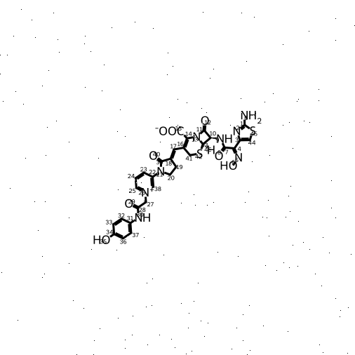 Nc1nc(/C(=N/O)C(=O)N[C@@H]2C(=O)N3C(C(=O)[O-])=C(/C=C4\CCN(c5ccc[n+](CC(=O)Nc6ccc(O)cc6)c5)C4=O)CS[C@H]23)cs1